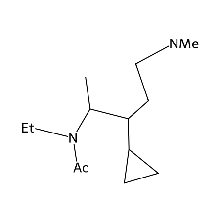 CCN(C(C)=O)C(C)C(CCNC)C1CC1